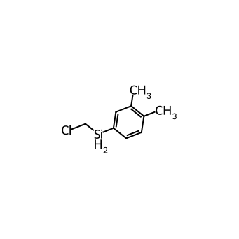 Cc1ccc([SiH2]CCl)cc1C